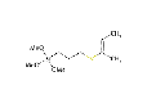 CC=C(C)SCCC[Si](OC)(OC)OC